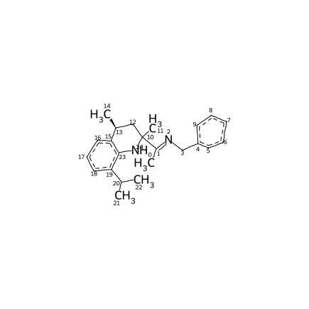 C/C(=N\Cc1ccccc1)C1(C)C[C@H](C)c2cccc(C(C)C)c2N1